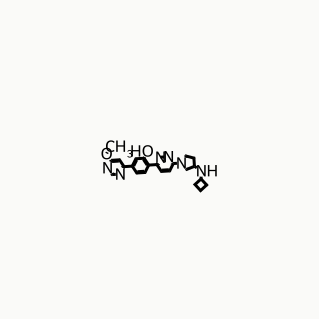 COc1cc(-c2ccc(-c3ccc(N4CCC(NC5CCC5)C4)nn3)c(O)c2)ncn1